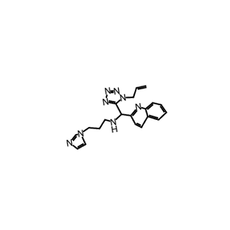 C=CCn1nnnc1C(NCCCn1ccnc1)c1ccc2ccccc2n1